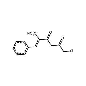 O=C(CCl)CC(=O)/C(=C/c1ccccc1)C(=O)O